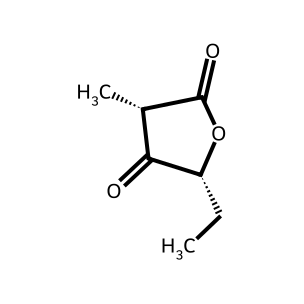 CC[C@H]1OC(=O)[C@@H](C)C1=O